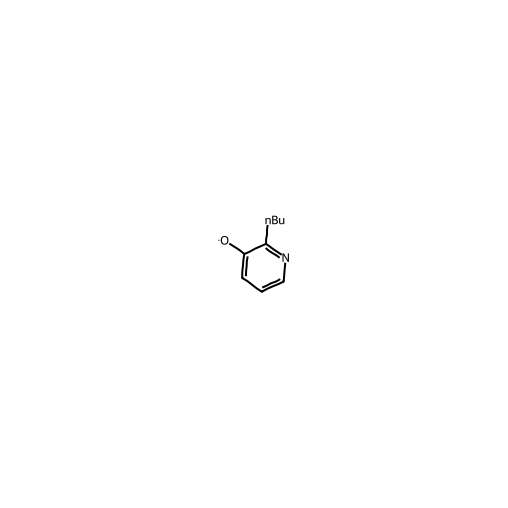 CCCCc1ncccc1[O]